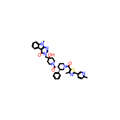 Cc1ccc(-c2nc(C)c(C(=O)N3CC[C@@H](C(=O)N4CCC(O)(Cn5cnc6c(c5=O)c5ccccc5n6C)CC4)[C@H](c4ccccc4)C3)s2)cn1